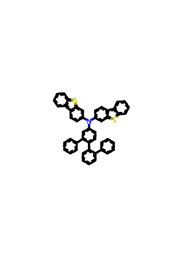 c1ccc(-c2ccccc2-c2ccc(N(c3ccc4c(c3)sc3ccccc34)c3ccc4c(c3)sc3ccccc34)cc2-c2ccccc2)cc1